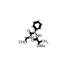 COC(C)C(=O)NN(C(=O)NC[C]=O)c1ccccc1